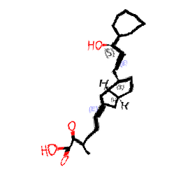 CC(C/C=C1\C[C@@H]2CC[C@H](/C=C/[C@@H](O)C3CCCCC3)[C@H]2C1)C(=O)C(=O)O